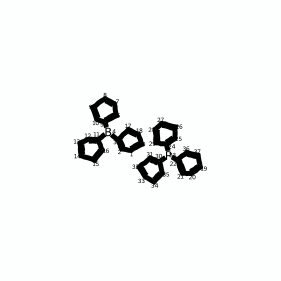 c1ccc(B(c2ccccc2)c2ccccc2)cc1.c1ccc(P(c2ccccc2)c2ccccc2)cc1